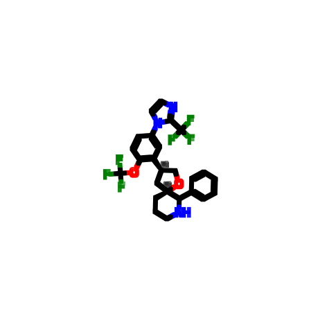 FC(F)(F)Oc1ccc(-n2ccnc2C(F)(F)F)cc1[C@H]1CO[C@@]2(CCCNC2c2ccccc2)C1